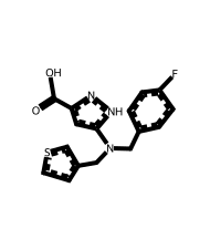 O=C(O)c1cc(N(Cc2ccc(F)cc2)Cc2ccsc2)[nH]n1